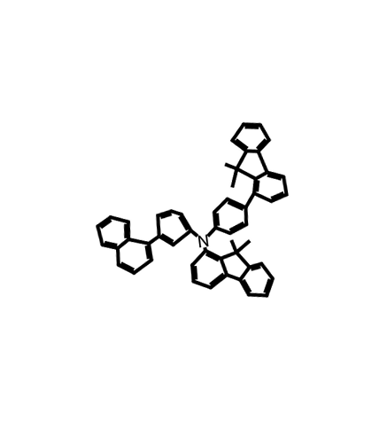 CC1(C)c2ccccc2-c2cccc(-c3ccc(N(c4cccc(-c5cccc6ccccc56)c4)c4cccc5c4C(C)(C)c4ccccc4-5)cc3)c21